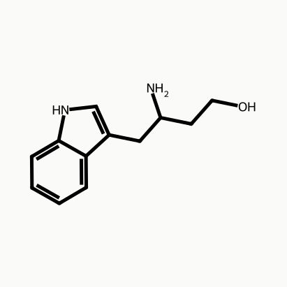 NC(CCO)Cc1c[nH]c2ccccc12